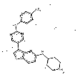 FC(F)(F)c1ccc(Nc2ncc(-c3cnc4ccc(NC5CCNCC5)nn34)cn2)cc1